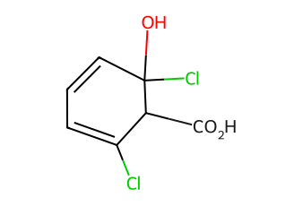 O=C(O)C1C(Cl)=CC=CC1(O)Cl